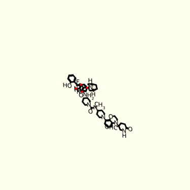 CN(C(=O)N1CCC(Oc2cc(N3[C@@H]4CC[C@H]3CN(c3cc(-c5ccccc5O)nnc3N)C4)cc(F)c2F)CC1)C1CCN(c2cccc3c2OCCN3[C@]2(C=O)CCC(=O)NC2)CC1